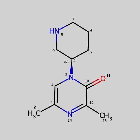 Cc1cn([C@@H]2CCCNC2)c(=O)c(C)n1